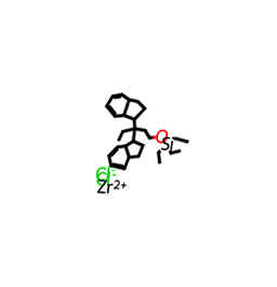 CCC(CCO[Si](CC)(CC)CC)(C1CCC2C=CC=CC21)C1CCC2C=CC=CC21.[Cl-].[Cl-].[Zr+2]